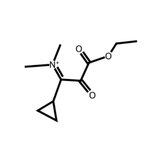 CCOC(=O)C(=O)C(C1CC1)=[N+](C)C